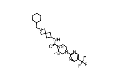 C[C@@H]1CN(c2ncc(C(F)(F)F)cn2)C[C@H](C)N1C(=O)NC1CC2(C1)CN(CC1CCCCC1)C2